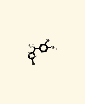 CC(c1ccc(N)c(S)c1)c1nc(Br)cs1